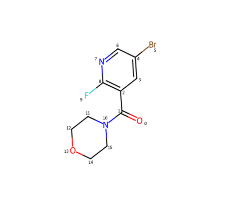 O=C(c1cc(Br)cnc1F)N1CCOCC1